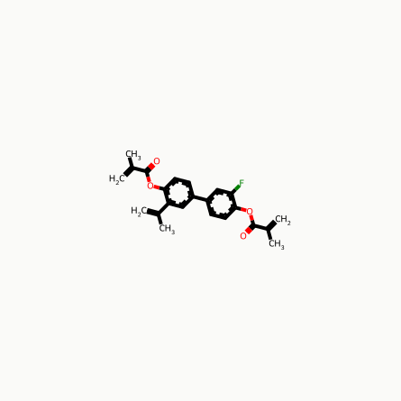 C=C(C)C(=O)Oc1ccc(-c2ccc(OC(=O)C(=C)C)c(C(=C)C)c2)cc1F